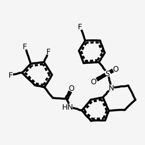 O=C(Cc1cc(F)c(F)c(F)c1)Nc1ccc2c(c1)N(S(=O)(=O)c1ccc(F)cc1)CCC2